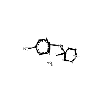 CC1(Nc2ccc(C#N)cc2)CCNCC1.Cl